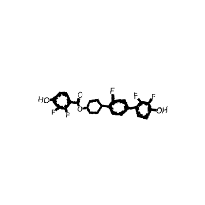 O=C(OC1CCC(c2ccc(-c3ccc(O)c(F)c3F)cc2F)CC1)c1ccc(O)c(F)c1F